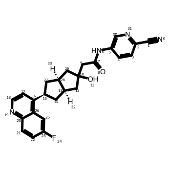 N#Cc1ccc(NC(=O)CC2(O)C[C@H]3C[C@@H](c4ccnc5ccc(F)cc45)C[C@H]3C2)cn1